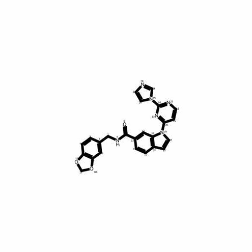 O=C(NCc1ccc2c(c1)OCO2)c1ccc2ccn(-c3ccnc(-n4ccnc4)n3)c2c1